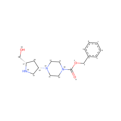 O=C(OCc1ccccc1)N1CCN([C@@H]2CN[C@H](CO)C2)CC1